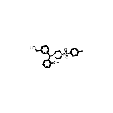 Cc1ccc(S(=O)(=O)N2CCN(C(c3cccc(CO)c3)c3ccccc3O)CC2)cc1